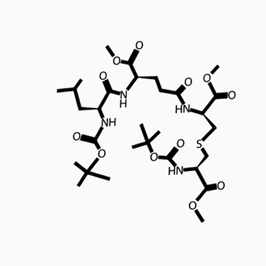 COC(=O)[C@H](CSC[C@@H](NC(=O)CC[C@@H](NC(=O)[C@H](CC(C)C)NC(=O)OC(C)(C)C)C(=O)OC)C(=O)OC)NC(=O)OC(C)(C)C